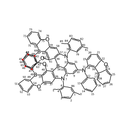 Cc1ccc(C)c(N2c3cc(N(c4ccccc4)c4cccc5oc6ccccc6c45)cc4c3B(c3c2cc2c5c3Oc3ccccc3B5c3ccccc3O2)c2c(cc3c5c2Oc2ccccc2B5c2ccccc2O3)N4c2cc(C)ccc2C)c1